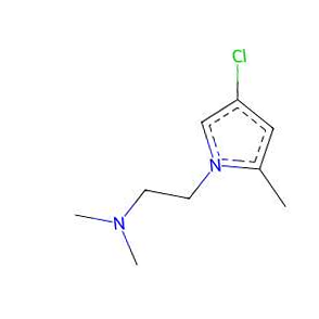 Cc1cc(Cl)cn1CCN(C)C